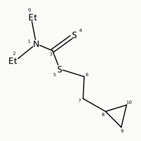 CCN(CC)C(=S)SCCC1CC1